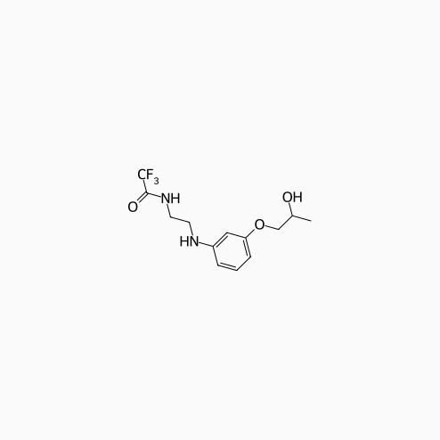 CC(O)COc1cccc(NCCNC(=O)C(F)(F)F)c1